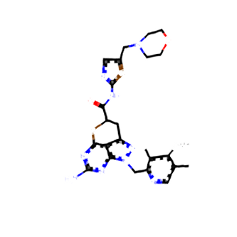 COc1c(C)cnc(Cn2nc3c4c(nc(N)nc42)SC(C(=O)Nc2ncc(CN4CCOCC4)s2)C3)c1C